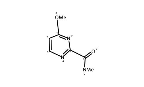 CNC(=O)c1nccc(OC)n1